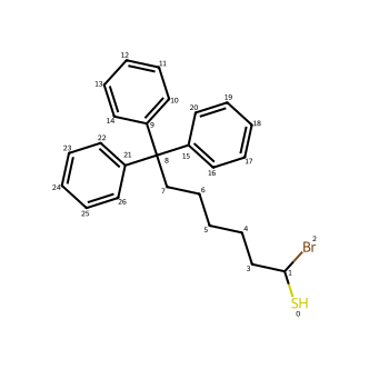 SC(Br)CCCCCC(c1ccccc1)(c1ccccc1)c1ccccc1